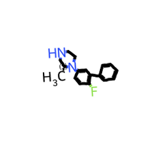 C[C@H]1CNCCN1c1ccc(F)c(-c2ccccc2)c1